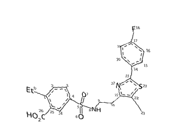 CCc1ccc(S(=O)(=O)NCCc2nc(-c3ccc(F)cc3)sc2C)cc1C(=O)O